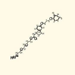 Cc1ccc(OCCCOc2ccc3c(c2)CC[C@H]3CC(=O)OCCOCCOCCN=[N+]=[N-])c(C)c1